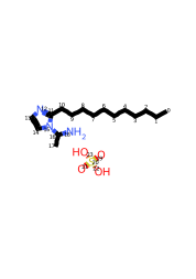 CCCCCCCCCCCc1nccn1C(C)N.O=S(=O)(O)O